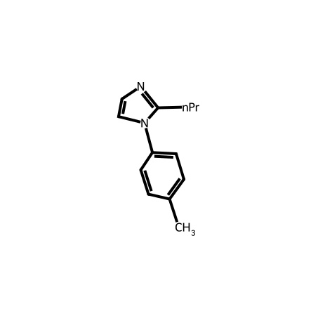 [CH2]CCc1nccn1-c1ccc(C)cc1